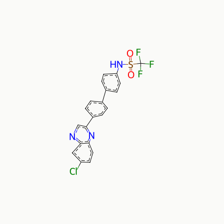 O=S(=O)(Nc1ccc(-c2ccc(-c3cnc4cc(Cl)ccc4n3)cc2)cc1)C(F)(F)F